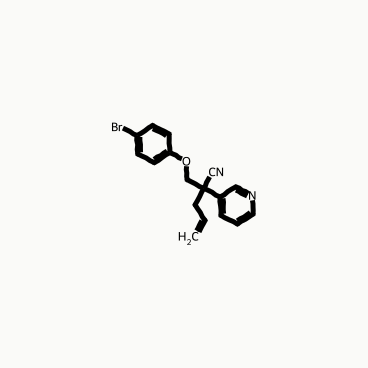 C=CCC(C#N)(COc1ccc(Br)cc1)c1cccnc1